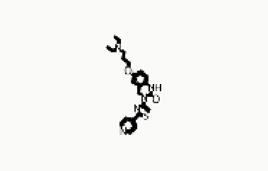 CCN(CC)CCCOc1ccc2c(c1)CN(c1csc(-c3ccncc3)n1)C(=O)N2